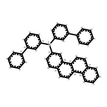 c1ccc(-c2cccc(N(c3cccc(-c4ccccc4)c3)c3ccc4ccc5c6ccccc6ccc5c4c3)c2)cc1